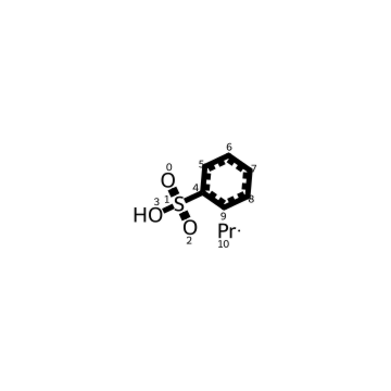 O=S(=O)(O)c1ccccc1.[Pr]